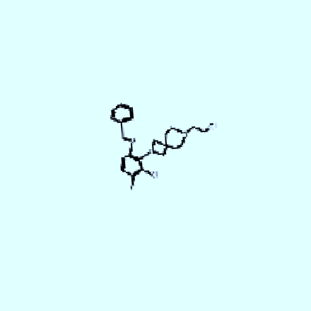 OCCN1CCC2(CC1)CN(c1c(OCc3ccccc3)ccc(Cl)c1Cl)C2